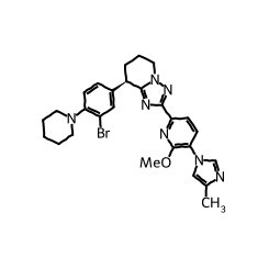 COc1nc(-c2nc3n(n2)CCC[C@@H]3c2ccc(N3CCCCC3)c(Br)c2)ccc1-n1cnc(C)c1